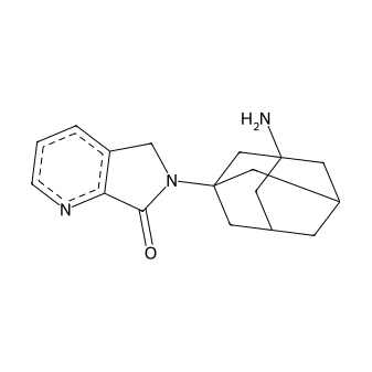 NC12CC3CC(C1)CC(N1Cc4cccnc4C1=O)(C3)C2